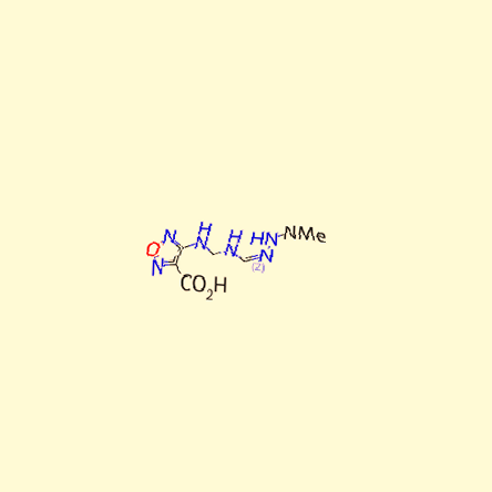 CNN/N=C\NCNc1nonc1C(=O)O